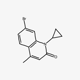 Cc1cc(=O)n(C2CC2)c2cc(Br)ccc12